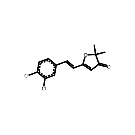 CC1(C)OC(C=Cc2ccc(Cl)c(Cl)c2)=CC1=O